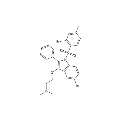 Cc1ccc(S(=O)(=O)n2c(-c3ccccc3)c(OCCN(C)C)c3cc(Br)ccc32)c(Br)c1